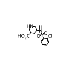 O=C(O)C1CNCC(NS(=O)(=O)c2ccccc2Cl)C1